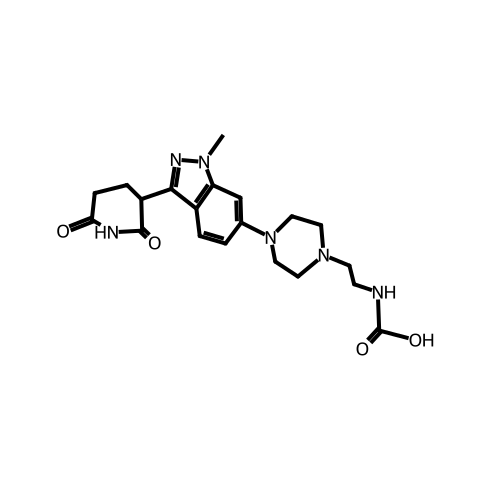 Cn1nc(C2CCC(=O)NC2=O)c2ccc(N3CCN(CCNC(=O)O)CC3)cc21